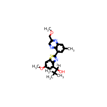 [2H]C(O)(c1cc(OC)cc2sc(-c3cc(C)cc4nc(COC)cnc34)nc12)C(C)(C)C